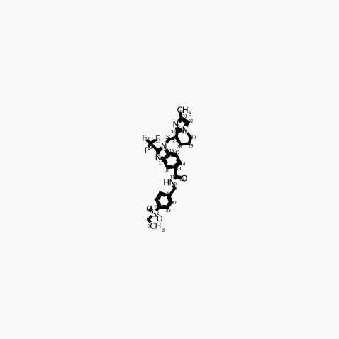 CCS(=O)(=O)c1ccc(CNC(=O)c2ccc3c(c2)nc(C(F)(F)F)n3CC2CCCn3cc(C)nc32)cc1